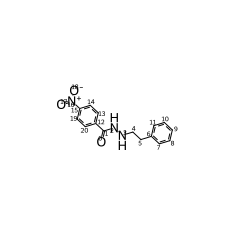 O=C(NNCCc1ccccc1)c1ccc([N+](=O)[O-])cc1